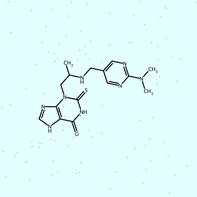 CC(Cn1c(=S)[nH]c(=O)c2[nH]cnc21)NCc1cnc(N(C)C)nc1